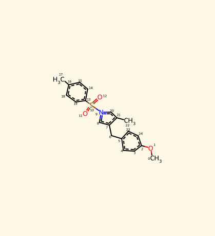 COc1ccc(Cc2cn(S(=O)(=O)c3ccc(C)cc3)cc2C)cc1